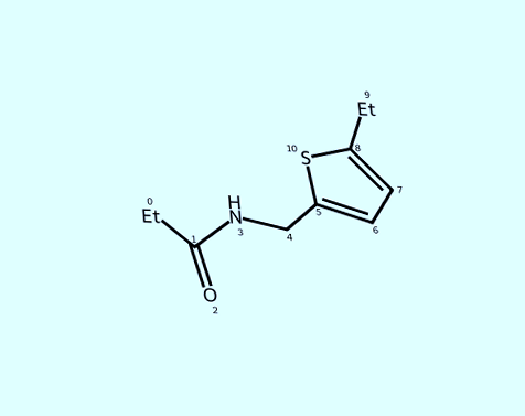 CCC(=O)NCc1ccc(CC)s1